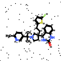 Cc1ccc(C(C)(C)N2CC[C@@](CCc3ccc(F)s3)([C@H]3NC(=O)Nc4ccccc43)C2)cn1